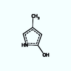 Cc1c[nH]c(O)c1